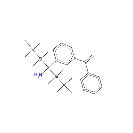 C=C(c1ccccc1)c1cccc(C(N)([Si](C)(C)C(C)(C)C)[Si](C)(C)C(C)(C)C)c1